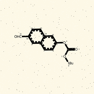 CC(C)(C)OC(=O)Oc1ccc2cc(C=O)ccc2c1